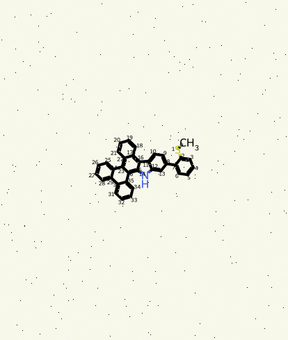 CSc1ccccc1-c1ccc2c(c1)[nH]c1c2c2ccccc2c2c3ccccc3c3ccccc3c12